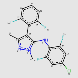 Cc1nn(C)c(Nc2c(F)cc(Cl)cc2F)c1-c1c(F)cccc1F